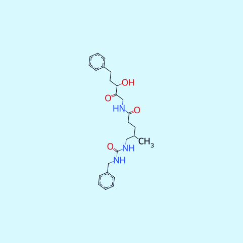 CC(CCC(=O)NCC(=O)C(O)CCc1ccccc1)CNC(=O)NCc1ccccc1